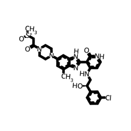 Cc1cc(N2CCN(C(=O)C[S+](C)[O-])CC2)cc2[nH]c(-c3c(NC[C@H](O)c4cccc(Cl)c4)cc[nH]c3=O)nc12